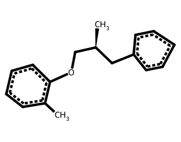 Cc1ccccc1OC[C@@H](C)Cc1ccccc1